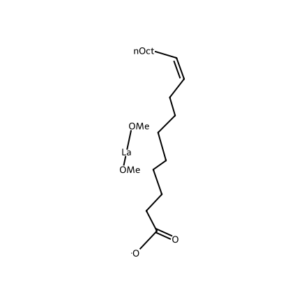 CCCCCCCC/C=C\CCCCCCCC([O])=O.C[O][La][O]C